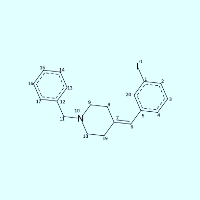 Ic1cccc(C=C2CCN(Cc3ccccc3)CC2)c1